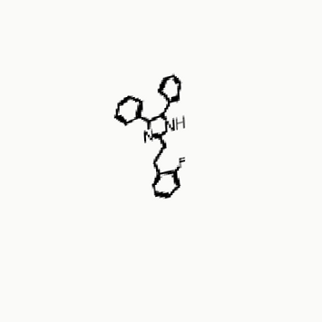 Fc1ccccc1CCC1=NC(c2ccccc2)C(c2ccccc2)N1